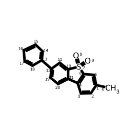 Cc1ccc2c(c1)S(=O)(=O)c1cc(-c3ccccc3)ccc1-2